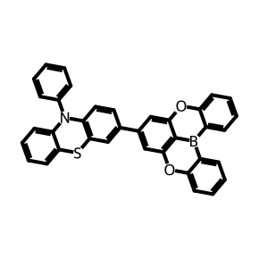 c1ccc(N2c3ccccc3Sc3cc(-c4cc5c6c(c4)Oc4ccccc4B6c4ccccc4O5)ccc32)cc1